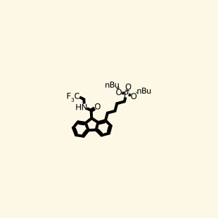 CCCCOP(=O)(CCCCc1cccc2c1C(C(=O)NCC(F)(F)F)c1ccccc1-2)OCCCC